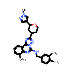 COc1cccc2c1nc(NCc1ccc(C)c(C)c1)n1nc(C3CCOC(c4cnn(C)c4)C3)nc21